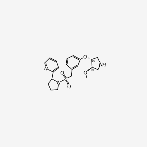 CO[C@@H]1CNC[C@H]1Oc1cccc(CS(=O)(=O)N2CCCC2c2ccccn2)c1